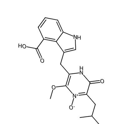 COc1c(Cc2c[nH]c3cccc(C(=O)O)c23)[nH]c(=O)c(CC(C)C)[n+]1[O-]